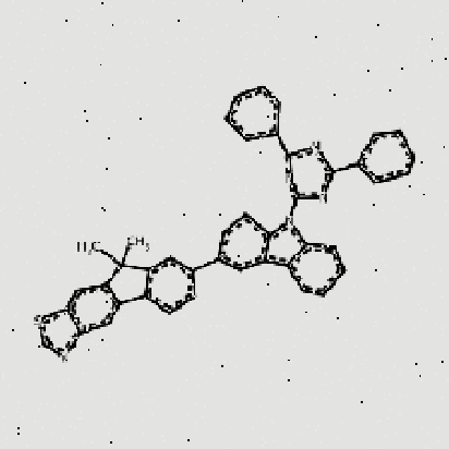 CC1(C)c2cc(-c3ccc4c(c3)c3ccccc3n4-c3nc(-c4ccccc4)nc(-c4ccccc4)n3)ccc2-c2cc3ncsc3cc21